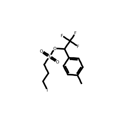 Cc1ccc(C(OS(=O)(=O)CCCI)C(F)(F)F)cc1